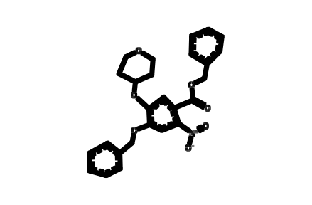 O=C(OCc1ccccc1)c1cc(OC2CCOCC2)c(OCc2ccccc2)cc1[N+](=O)[O-]